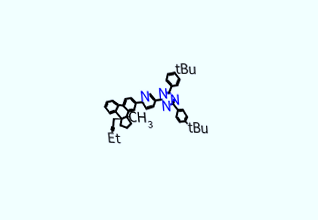 CCC#CC[C@]12CCC[C@@]1(C)c1cc(-c3ccc(-c4nc(-c5ccc(C(C)(C)C)cc5)nc(-c5ccc(C(C)(C)C)cc5)n4)cn3)ccc1-c1ccccc12